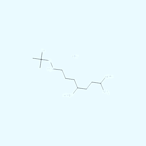 Br.CCCCCCCCCCC(N)CCC(CCCCCCC)CCC[SiH2]OC(C)(C)CC